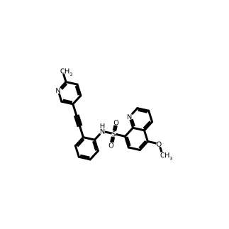 COc1ccc(S(=O)(=O)Nc2ccccc2C#Cc2ccc(C)nc2)c2ncccc12